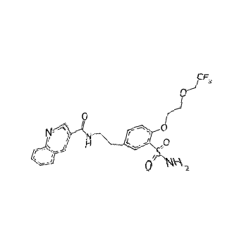 NS(=O)(=O)c1cc(CCNC(=O)c2cnc3ccccc3c2)ccc1OCCOCC(F)(F)F